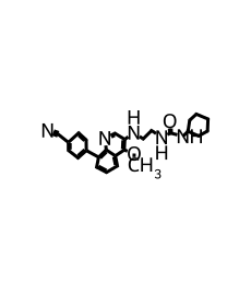 COc1c(NCCNC(=O)NC2CCCCC2)cnc2c(-c3ccc(C#N)cc3)cccc12